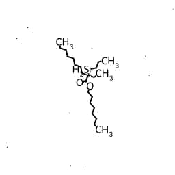 CCCCCCCCOC(=O)C(CC)(CCCCCCCC)[SiH2]CCC